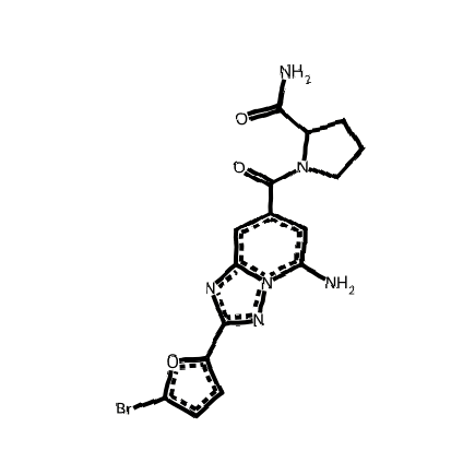 NC(=O)C1CCCN1C(=O)c1cc(N)n2nc(-c3ccc(Br)o3)nc2c1